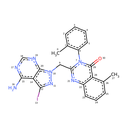 Cc1ccccc1-n1c(Cn2nc(I)c3c(N)ncnc32)nc2cccc(C)c2c1=O